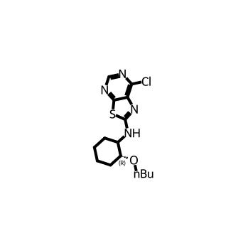 CCCCO[C@@H]1CCCCC1Nc1nc2c(Cl)ncnc2s1